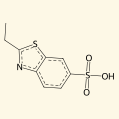 CCc1nc2ccc(S(=O)(=O)O)cc2s1